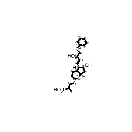 CC(CC[C@@H]1CC[C@@H]2[C@@H](C=C[C@@H](O)COc3ccccc3)[C@H](O)C[C@@H]2S1)C(=O)O